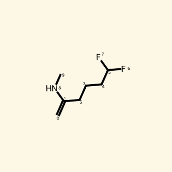 C=C(CCCC(F)F)NC